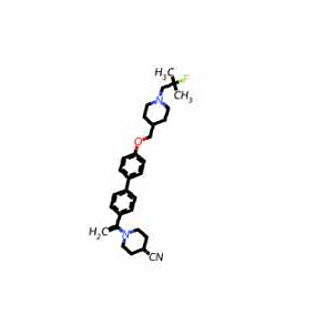 C=C(c1ccc(-c2ccc(OCC3CCN(CC(C)(C)F)CC3)cc2)cc1)N1CCC(C#N)CC1